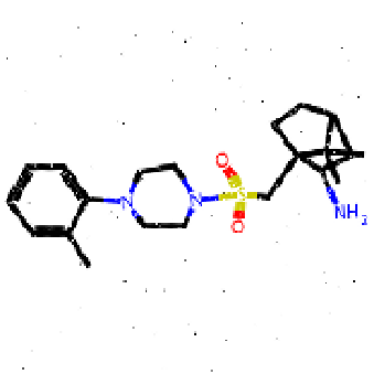 Cc1ccccc1N1CCN(S(=O)(=O)CC23CCC(CC2N)C3(C)C)CC1